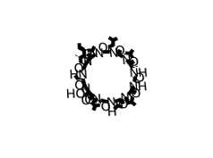 C/C=C/C[C@@H](C)C[C@@H]1C(=O)N[C@H](CC)C(=O)N(C)C(C(=O)O)C(=O)N(C)[C@@H](CC(C)C)C(=O)N[C@H](C(C)C)C(=O)N(C)[C@H](CC(C)C)C(=O)N[C@H](C)C(=O)N[C@@H](C)C(=O)N(C)[C@@H](CC(C)C)C(=O)N(C)[C@H](CCC(C)C)C(=O)N(C)[C@H](C(C)C)C(=O)N1C